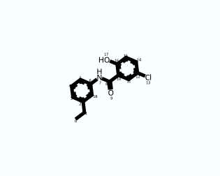 CCc1cccc(NC(=O)c2cc(Cl)ccc2O)c1